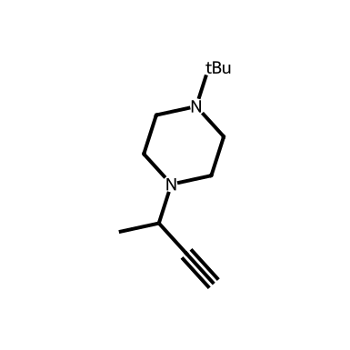 C#CC(C)N1CCN(C(C)(C)C)CC1